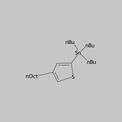 CCCCCCCCc1cs[c]([Sn]([CH2]CCC)([CH2]CCC)[CH2]CCC)c1